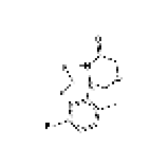 O=C1COC[C@](c2nc(Br)ccc2F)(C(F)F)N1